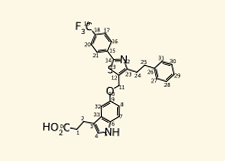 O=C(O)CCc1c[nH]c2ccc(OCc3sc(-c4ccc(C(F)(F)F)cc4)nc3CCc3ccccc3)cc12